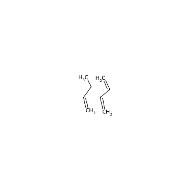 C=CC=C.C=CCC